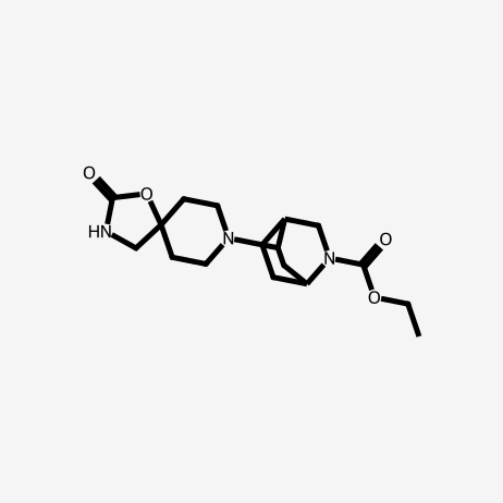 CCOC(=O)N1CC2CCC1CC2N1CCC2(CC1)CNC(=O)O2